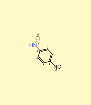 O=Nc1ccc(NCl)cc1